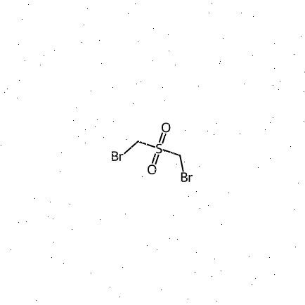 O=S(=O)(CBr)CBr